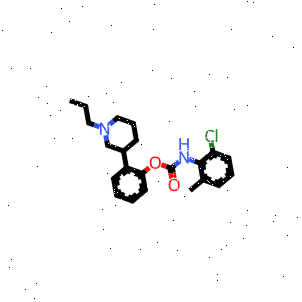 CCCN1CCCC(c2ccccc2OC(=O)Nc2c(C)cccc2Cl)C1